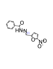 O=C(N/N=C/c1ccc([N+](=O)[O-])o1)c1ccccc1